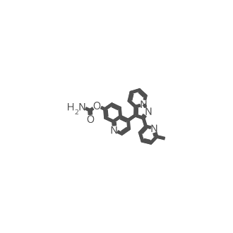 Cc1cccc(-c2nn3ccccc3c2-c2ccnc3cc(OC(N)=O)ccc23)n1